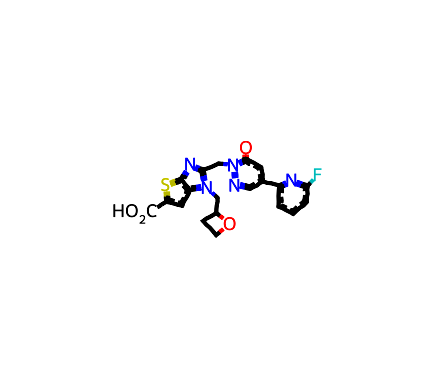 O=C(O)c1cc2c(nc(Cn3ncc(-c4cccc(F)n4)cc3=O)n2CC2CCO2)s1